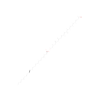 CCCCCCCCC=CCCCCCCCCCCCC(=O)OCCCCCCCCCCCCCCCCCCCCCO